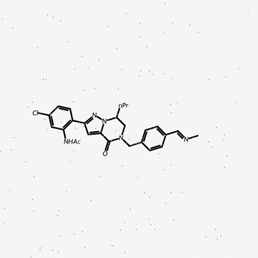 CCCC1CN(Cc2ccc(/C=N/C)cc2)C(=O)c2cc(-c3ccc(Cl)cc3NC(C)=O)nn21